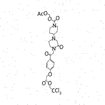 CC(=O)OCOC(=O)N1CCC(N2CCN(CC(=O)c3ccc(OCC(=O)OCC(Cl)(Cl)Cl)cc3)C(=O)C2)CC1